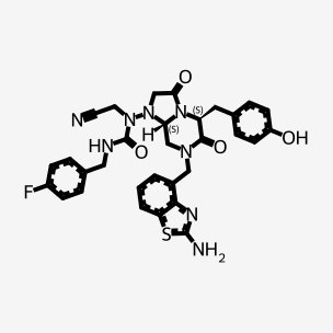 N#CCN(C(=O)NCc1ccc(F)cc1)N1CC(=O)N2[C@@H](Cc3ccc(O)cc3)C(=O)N(Cc3cccc4sc(N)nc34)C[C@@H]21